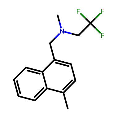 Cc1ccc(CN(C)CC(F)(F)F)c2ccccc12